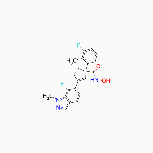 Cc1c(F)cccc1C1(C(=O)NO)C=C(c2ccc3cnn(C)c3c2F)CC1